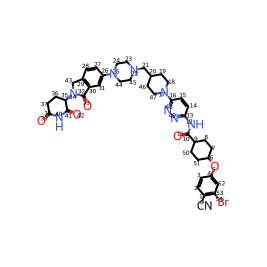 N#Cc1ccc(OC2CCC(C(=O)Nc3ccc(N4CCC(CN5CCN(c6ccc7c(c6)C(=O)N(C6CCC(=O)NC6=O)C7)CC5)CC4)nn3)CC2)cc1Br